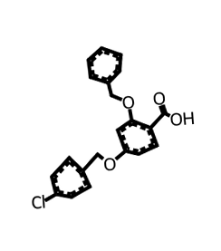 O=C(O)c1ccc(OCc2ccc(Cl)cc2)cc1OCc1ccccc1